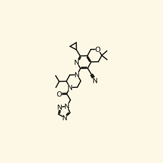 CC(C)C1CN(c2nc(C3CC3)c3c(c2C#N)CC(C)(C)OC3)CCN1C(=O)Cn1cncn1